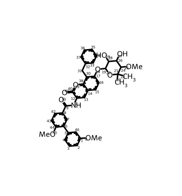 COc1cccc(-c2cc(C(=O)Nc3cc4ccc(OC5OC(C)(C)C(OC)C(O)C5O)c(Cc5ccccc5)c4oc3=O)ccc2OC)c1